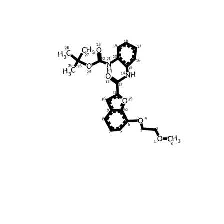 COCCOc1cccc2cc(C(=O)Nc3ccccc3NC(=O)OC(C)(C)C)oc12